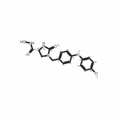 O=C(NO)[C@H]1CN(Cc2ccc(Oc3ccc(Cl)cc3)cc2)C(=O)N1